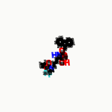 CC(C)(C)OC(=O)N(CCCCC(NC(=O)OCC1c2ccccc2-c2ccccc21)C(=O)O)CC(F)(F)F